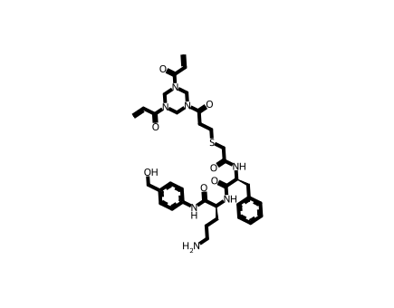 C=CC(=O)N1CN(C(=O)C=C)CN(C(=O)CCSCC(=O)N[C@@H](Cc2ccccc2)C(=O)N[C@@H](CCCN)C(=O)Nc2ccc(CO)cc2)C1